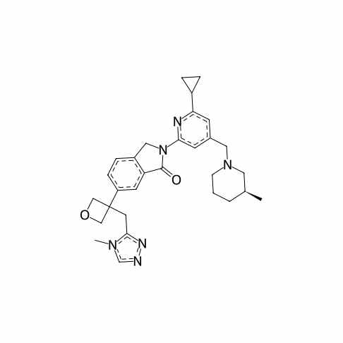 C[C@H]1CCCN(Cc2cc(C3CC3)nc(N3Cc4ccc(C5(Cc6nncn6C)COC5)cc4C3=O)c2)C1